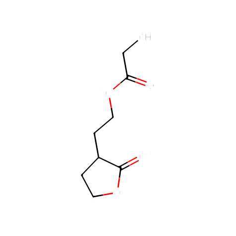 CCC(=O)OCCC1CCOC1=O